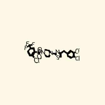 O=S(=O)(c1cc(C(F)(F)F)ccc1Cl)N1CCN(c2nc(Cc3ccc(Cl)c(Cl)c3)cs2)CC1